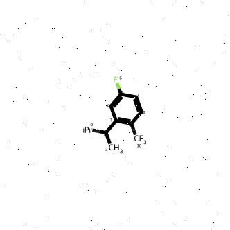 CC(C)C(C)c1cc(F)ccc1C(F)(F)F